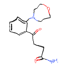 NC(=O)CCC(=O)c1ccccc1N1CCOCC1